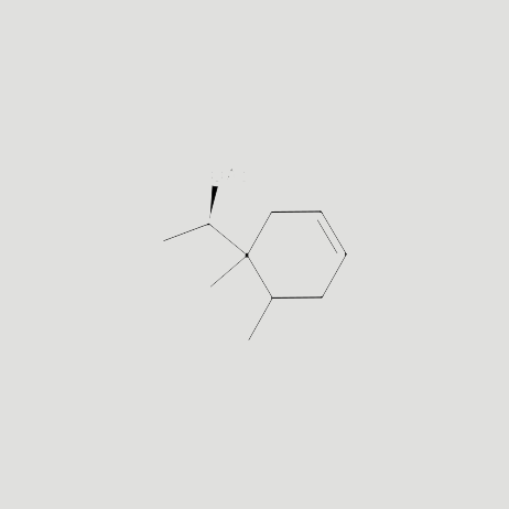 CC(=O)O[C@H](C)C1(C)CC=CCC1C